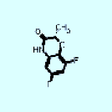 C[C@@H]1Oc2c(F)cc(F)cc2NC1=O